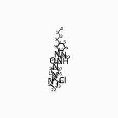 CCCCc1ccc2c(c1)nc(NC(=O)N1CCN(c3ncccc3Cl)CC1)n2C